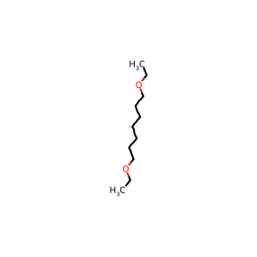 CCOCCC[CH]CCCOCC